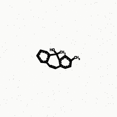 Cc1ccc2c(c1)C(C)(O)c1ccccc1C=C2